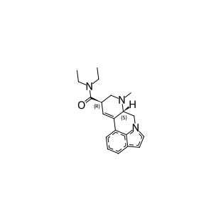 CCN(CC)C(=O)[C@@H]1C=C2c3cccc4ccn(c34)C[C@H]2N(C)C1